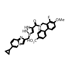 COc1ccc(-c2ccc(C(=O)O)cc2)c(CNC(=O)C2=CN(Cc3cn4cc(C5CC5)ccc4n3)NN2)c1F